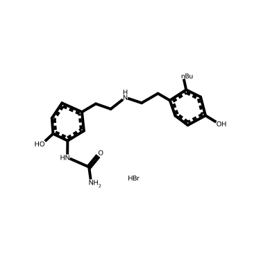 Br.CCCCc1cc(O)ccc1CCNCCc1ccc(O)c(NC(N)=O)c1